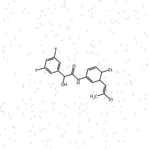 CC/C(C)=C/C1C=C(NC(=O)C(O)c2cc(F)cc(F)c2)C=CC1CC